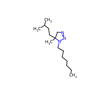 CCCCCCCN1N=NCC1(C)CCC(C)C